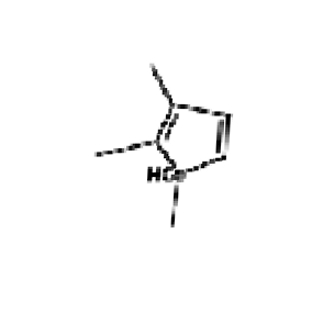 CC1=[C](C)[GeH]([CH3])[CH]=C1